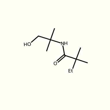 CCC(C)(C)C(=O)NC(C)(C)CO